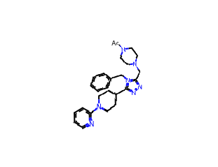 CC(=O)N1CCN(Cc2nnc(C3CCN(c4ccccn4)CC3)n2Cc2ccccc2)CC1